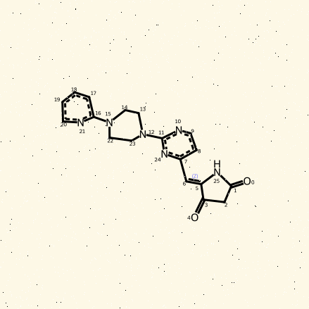 O=C1CC(=O)/C(=C/c2ccnc(N3CCN(c4ccccn4)CC3)n2)N1